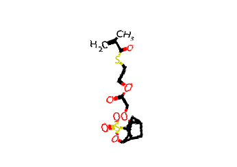 C=C(C)C(=O)SCCOC(=O)COC1C2CC3C1OS(=O)(=O)C3C2